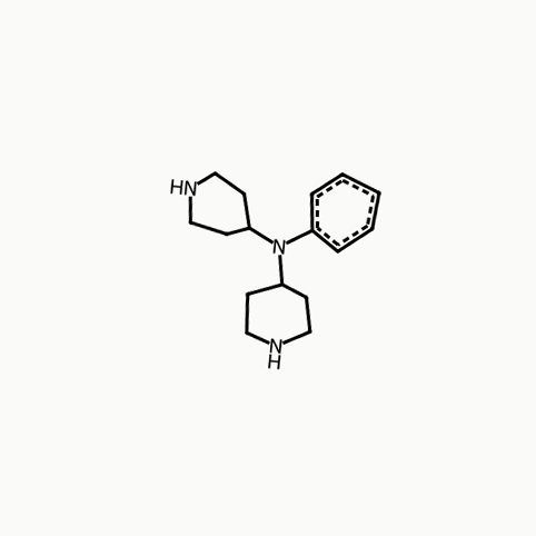 c1ccc(N(C2CCNCC2)C2CCNCC2)cc1